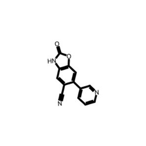 N#Cc1cc2[nH]c(=O)oc2cc1-c1cccnc1